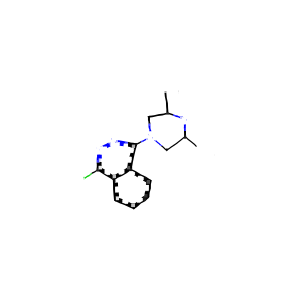 CC1CN(c2nnc(Cl)c3ccccc23)CC(C)N1